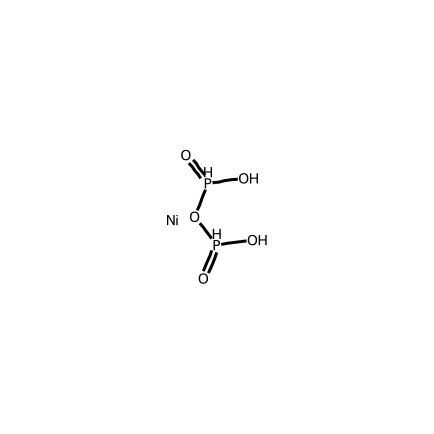 O=[PH](O)O[PH](=O)O.[Ni]